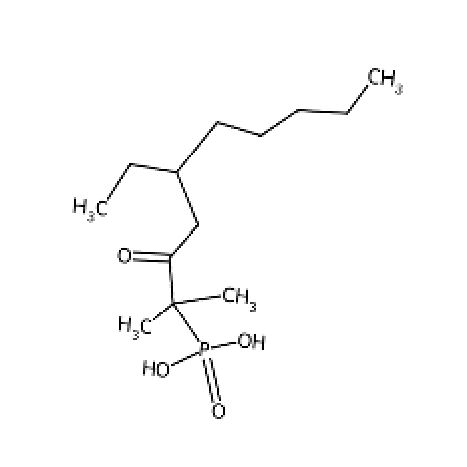 CCCCCC(CC)CC(=O)C(C)(C)P(=O)(O)O